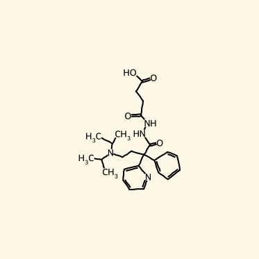 CC(C)N(CCC(C(=O)NNC(=O)CCC(=O)O)(c1ccccc1)c1ccccn1)C(C)C